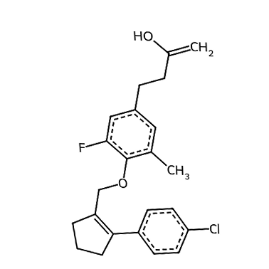 C=C(O)CCc1cc(C)c(OCC2=C(c3ccc(Cl)cc3)CCC2)c(F)c1